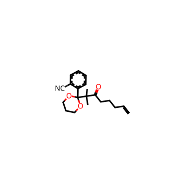 C=CCCCC(=O)C(C)(C)C1(c2ccccc2C#N)OCCCO1